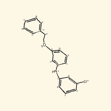 Clc1cccc(Nc2cccc(OCc3ccccc3)c2)c1